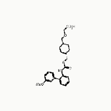 COc1cccc(-c2ccccc2NC(=O)OC[C@H]2CC[C@H](COCC(=O)O)CC2)c1